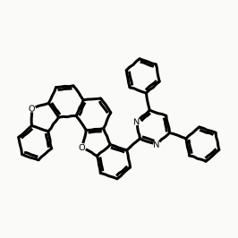 c1ccc(-c2cc(-c3ccccc3)nc(-c3cccc4oc5c(ccc6ccc7oc8ccccc8c7c65)c34)n2)cc1